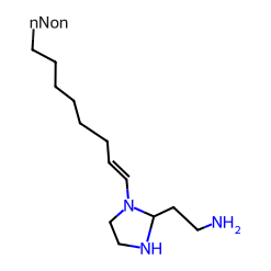 CCCCCCCCCCCCCCCC=CN1CCNC1CCN